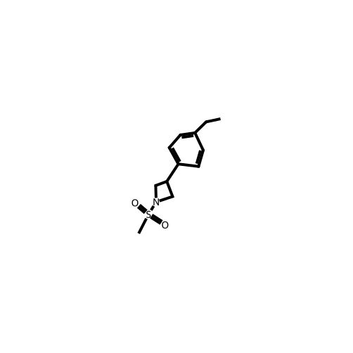 CCc1ccc(C2CN(S(C)(=O)=O)C2)cc1